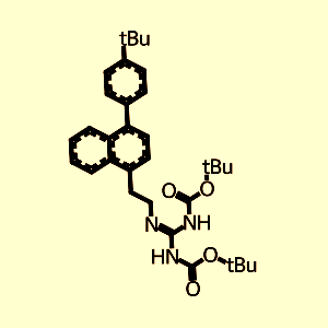 CC(C)(C)OC(=O)NC(=NCCc1ccc(-c2ccc(C(C)(C)C)cc2)c2ccccc12)NC(=O)OC(C)(C)C